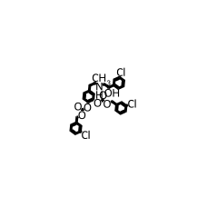 CC(Cc1ccc(OC(=O)OCc2cccc(Cl)c2)c(OC(=O)OCc2cccc(Cl)c2)c1)NCC(O)c1cccc(Cl)c1